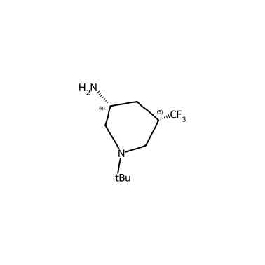 CC(C)(C)N1C[C@H](N)C[C@H](C(F)(F)F)C1